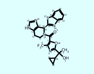 CC(O)(c1nc(C(F)(F)F)c(C(=O)N2CCc3[nH]cnc3[C@H]2c2nc3ccccc3s2)o1)C1CC1